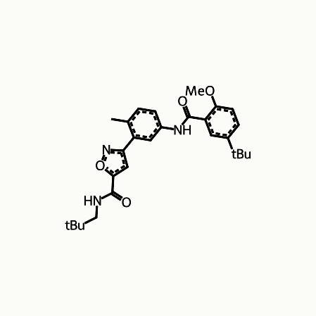 COc1ccc(C(C)(C)C)cc1C(=O)Nc1ccc(C)c(-c2cc(C(=O)NCC(C)(C)C)on2)c1